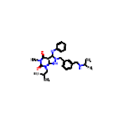 CC(C)CN1C(=O)N(C)C(=O)C2C(Nc3ccccc3)N(Cc3cccc(CNC(C)C)c3)NC21